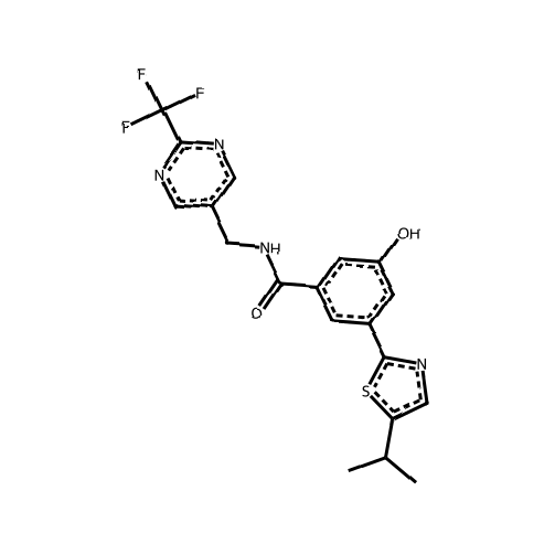 CC(C)c1cnc(-c2cc(O)cc(C(=O)NCc3cnc(C(F)(F)F)nc3)c2)s1